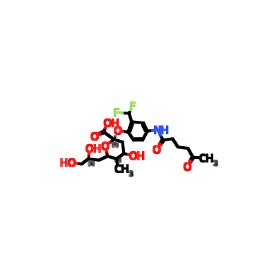 CC(=O)CCCC(=O)Nc1ccc(O[C@]2(C(=O)O)CC(O)[C@@H](C)C(C[C@H](O)CO)O2)c(C(F)F)c1